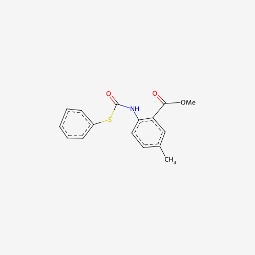 COC(=O)c1cc(C)ccc1NC(=O)Sc1ccccc1